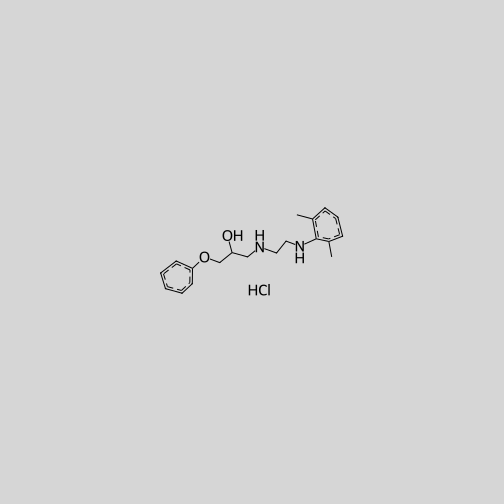 Cc1cccc(C)c1NCCNCC(O)COc1ccccc1.Cl